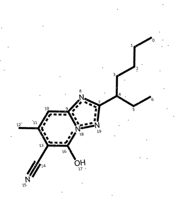 CCCCC(CC)c1nc2cc(C)c(C#N)c(O)n2n1